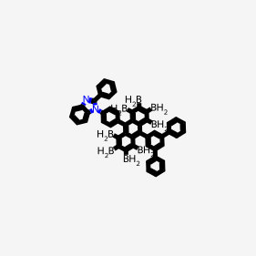 Bc1c(B)c(B)c2c(-c3cc(-c4ccccc4)cc(-c4ccccc4)c3)c3c(B)c(B)c(B)c(B)c3c(-c3ccc(-n4c(-c5ccccc5)nc5ccccc54)cc3)c2c1B